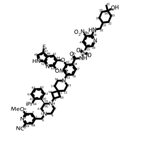 COc1cc(CN2CCN(C3CC4(CCN(c5ccc(C(=O)NS(=O)(=O)c6cnc(NCC7CCC(C)(O)CC7)c([N+](=O)[O-])c6)c(Oc6cc7c(F)c[nH]c7nc6OC)c5)CC4)C3)[C@H](c3ccccc3C(C)C)C2)cc(C#N)n1